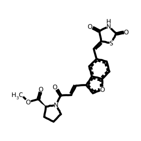 COC(=O)[C@@H]1CCCN1C(=O)/C=C/c1coc2ccc(/C=C3\SC(=O)NC3=O)cc12